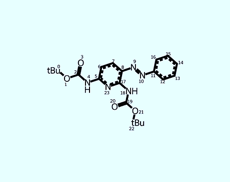 CC(C)(C)OC(=O)Nc1ccc(/N=N/c2ccccc2)c(NC(=O)OC(C)(C)C)n1